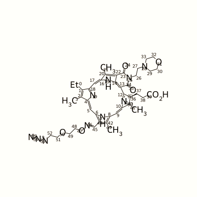 CCC1=C(C)c2cc3[nH]c(cc4nc(c5c6[nH]c(cc1n2)c(C)c6C(=O)N(CCN1CCOCC1)C5=O)[C@@H](CCC(=O)O)[C@@H]4C)c(C)c3C=NOCCOCCN=[N+]=[N-]